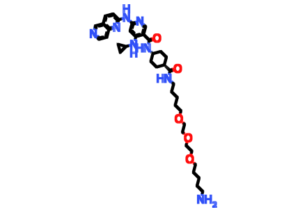 NCCCCCOCCOCCOCCCCCNC(=O)[C@H]1CC[C@H](NC(=O)c2cnc(Nc3ccc4cnccc4n3)cc2NC2CC2)CC1